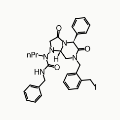 CCCN(C(=O)NCc1ccccc1)N1CC(=O)N2[C@@H](c3ccccc3)C(=O)N(Cc3ccccc3CI)C[C@@H]21